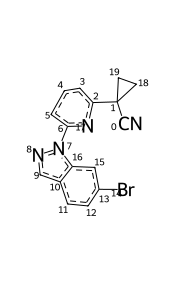 N#CC1(c2cccc(-n3ncc4ccc(Br)cc43)n2)CC1